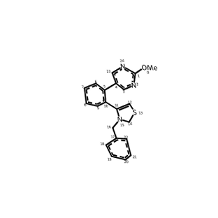 COc1ncc(-c2ccccc2C2=CS[CH]N2Cc2ccccc2)cn1